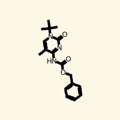 Cc1cn(C(C)(C)C)c(=O)nc1NC(=O)OCc1ccccc1